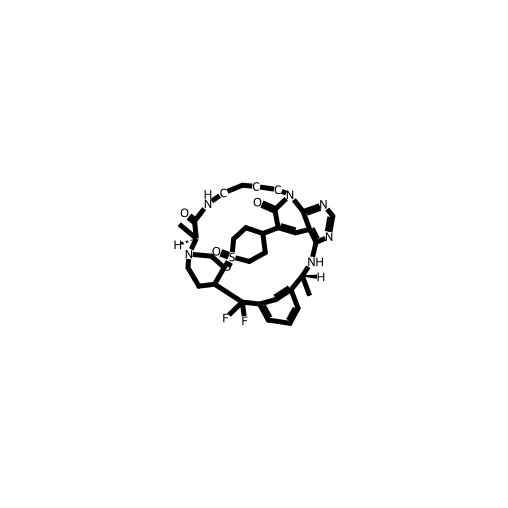 C[C@H]1Nc2ncnc3c2cc(C2CCS(=O)(=O)CC2)c(=O)n3CCCCNC(=O)[C@H](C)N2CCC(CC2)C(F)(F)c2cccc1c2